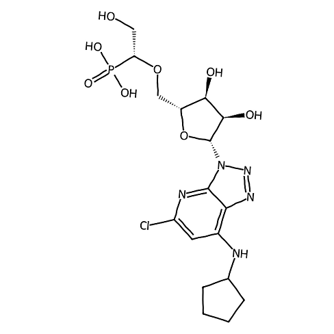 O=P(O)(O)[C@H](CO)OC[C@H]1O[C@@H](n2nnc3c(NC4CCCC4)cc(Cl)nc32)[C@H](O)[C@@H]1O